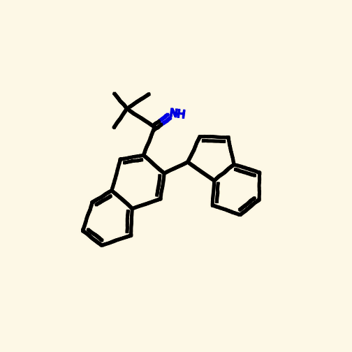 CC(C)(C)C(=N)c1cc2ccccc2cc1C1C=Cc2ccccc21